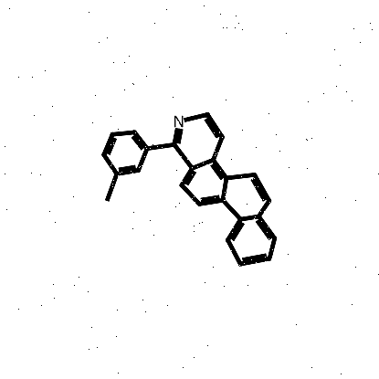 Cc1cccc(-c2nccc3c2ccc2c4ccccc4ccc32)c1